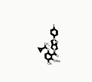 COc1c(C#N)ccc(OC(C)C2CC2)c1C(=O)N1Cc2cn(-c3ccc(F)cc3)nc2C1